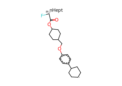 CCCCCCC[C@@H](F)C(=O)OC1CCC(COc2ccc(C3CC[CH]CC3)cc2)CC1